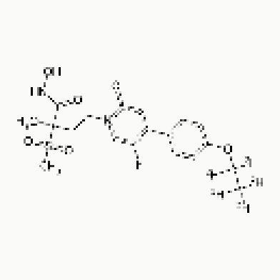 [2H]C([2H])([2H])C([2H])([2H])Oc1ccc(-c2cc(=O)n(CC[C@](C)(C(=O)NO)S(C)(=O)=O)cc2F)cc1